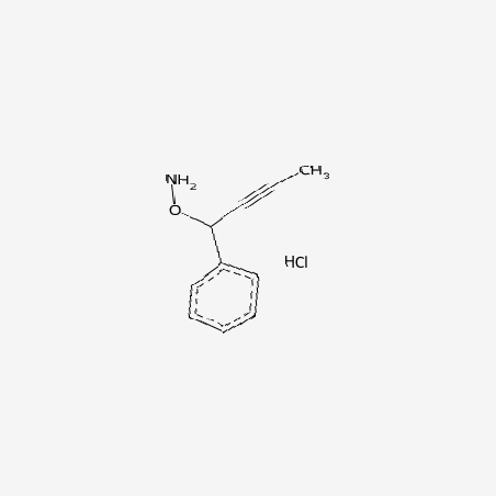 CC#CC(ON)c1ccccc1.Cl